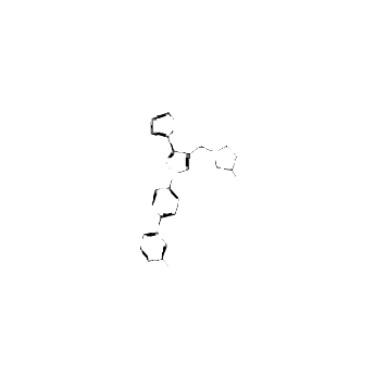 OC1CCN(Cc2cn(-c3ccc(-c4cccc(F)c4)cc3)nc2-c2ccco2)C1